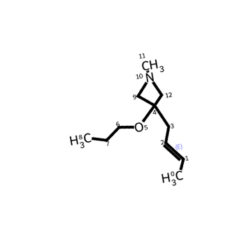 C/C=C/CC1(OCCC)CN(C)C1